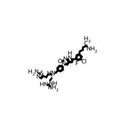 C[C@H](N)CCCc1cc(Cl)c(F)c(-c2cc3cn(-c4ccc(CN[C@H](CCNC(=N)N)CCc5cnc(N)s5)cc4)c(=O)nc3[nH]2)c1